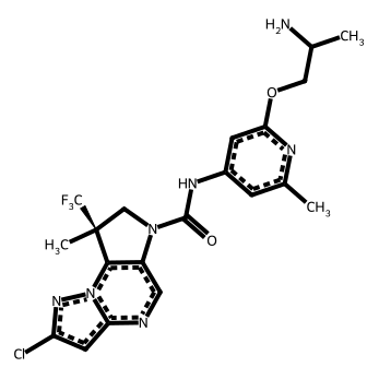 Cc1cc(NC(=O)N2C[C@](C)(C(F)(F)F)c3c2cnc2cc(Cl)nn32)cc(OCC(C)N)n1